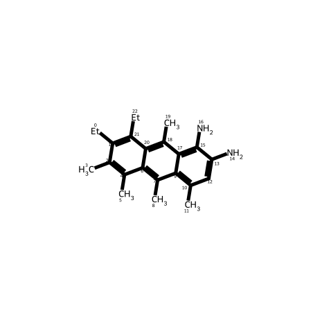 CCc1c(C)c(C)c2c(C)c3c(C)cc(N)c(N)c3c(C)c2c1CC